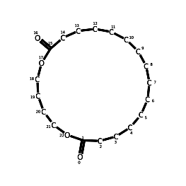 O=C1CCCCCCCCCCCCCC(=O)OCCCCO1